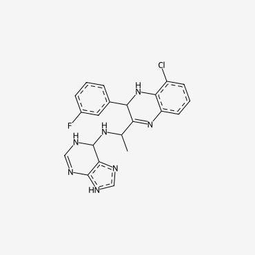 CC(NC1NC=Nc2[nH]cnc21)C1=Nc2cccc(Cl)c2NC1c1cccc(F)c1